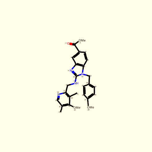 COC(=O)c1ccc2c(c1)nc(NCc1ncc(C)c(OC)c1C)n2Cc1ccc(OC)cc1